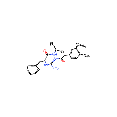 CCC(CC)NC(=O)C(Cc1ccccc1)NC(N)=NC(=O)Cc1ccc(OC)c(OC)c1